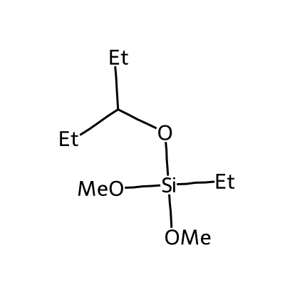 CCC(CC)O[Si](CC)(OC)OC